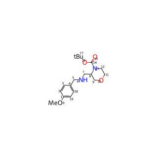 COc1ccc(CNCC2COCCN2C(=O)OC(C)(C)C)cc1